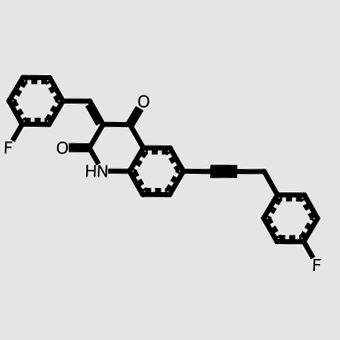 O=C1Nc2ccc(C#CCc3ccc(F)cc3)cc2C(=O)/C1=C/c1cccc(F)c1